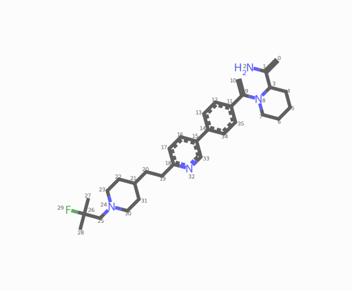 C=C(N)C1CCCCN1C(=C)c1ccc(-c2ccc(CCC3CCN(CC(C)(C)F)CC3)nc2)cc1